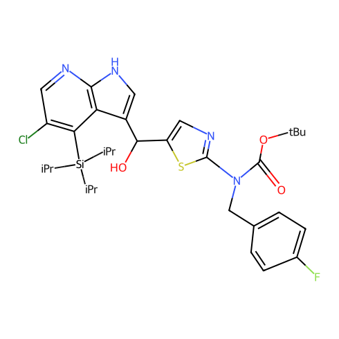 CC(C)[Si](c1c(Cl)cnc2[nH]cc(C(O)c3cnc(N(Cc4ccc(F)cc4)C(=O)OC(C)(C)C)s3)c12)(C(C)C)C(C)C